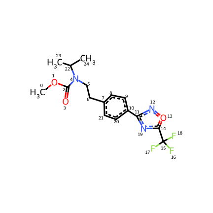 COC(=O)N(CCc1ccc(-c2noc(C(F)(F)F)n2)cc1)C(C)C